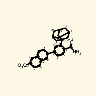 NC(=O)c1ccc(-c2ccc3cc(C(=O)O)ccc3c2)cc1C12CC3CC(CC(C3)C1)C2